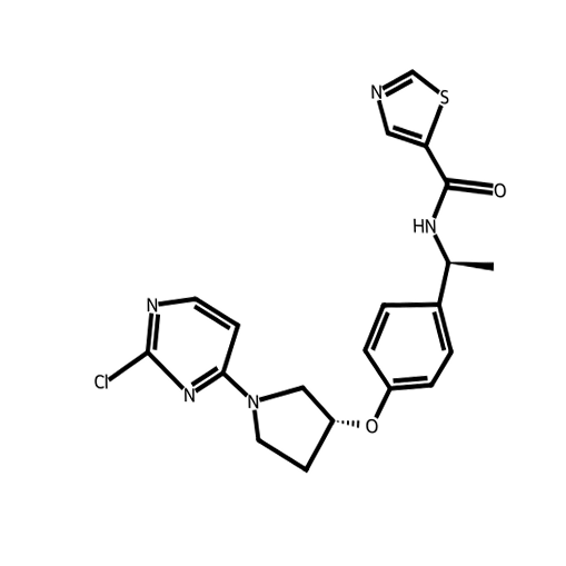 C[C@H](NC(=O)c1cncs1)c1ccc(O[C@@H]2CCN(c3ccnc(Cl)n3)C2)cc1